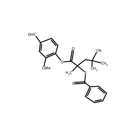 COc1cc(C=O)ccc1OC(=O)C(C)(CC(C)(C)C#N)SC(=S)c1ccccc1